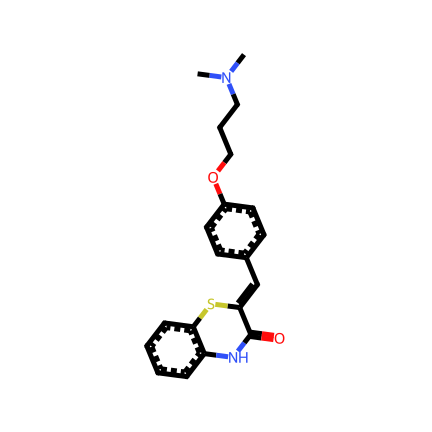 CN(C)CCCOc1ccc(C=C2Sc3ccccc3NC2=O)cc1